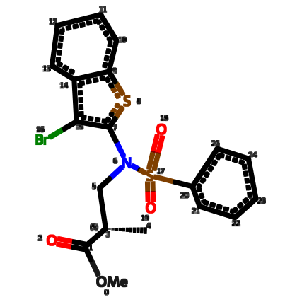 COC(=O)[C@@H](C)CN(c1sc2ccccc2c1Br)S(=O)(=O)c1ccccc1